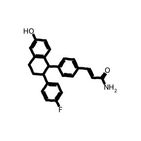 NC(=O)C=Cc1ccc(C2c3ccc(O)cc3CCC2c2ccc(F)cc2)cc1